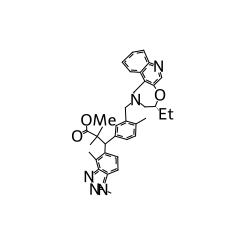 CC[C@@H]1CN(Cc2cc(C(c3ccc4c(nnn4C)c3C)C(C)(C)C(=O)OC)ccc2C)Cc2c(cnc3ccccc23)O1